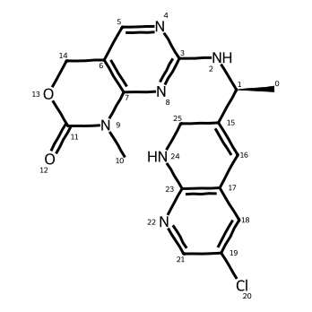 C[C@H](Nc1ncc2c(n1)N(C)C(=O)OC2)C1=Cc2cc(Cl)cnc2NC1